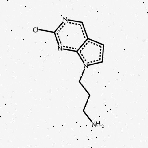 NCCCn1ccc2cnc(Cl)nc21